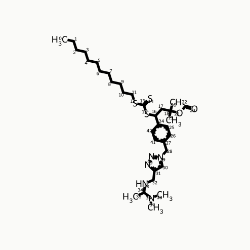 CCCCCCCCCCCCSC(=S)SC(CC(C)(C)OC=O)c1ccc(Cn2cc(CNC(C)N(C)C)nn2)cc1